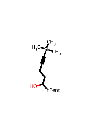 CCCCCC(O)CCC#C[Si](C)(C)C